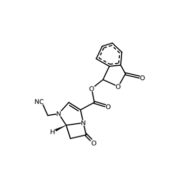 N#CCN1C=C(C(=O)OC2OC(=O)c3ccccc32)N2C(=O)C[C@H]12